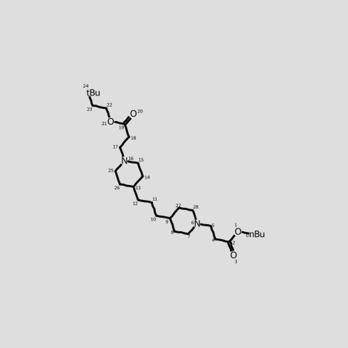 CCCCOC(=O)CCN1CCC(CCCC2CCN(CCC(=O)OCCC(C)(C)C)CC2)CC1